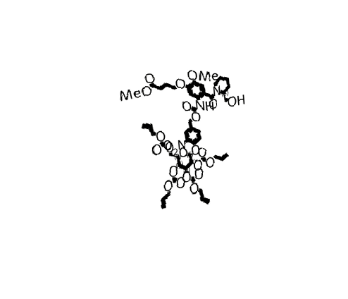 C=CCOC(=O)OC[C@H]1O[C@@H](Oc2ccc(COC(=O)Nc3cc(OCCCC(=O)OC)c(OC)cc3C(=O)N3CCCC[C@H]3CO)cc2[N+](=O)[O-])[C@H](OC(=O)OCC=C)[C@@H](OC(=O)OCC=C)[C@@H]1OC(=O)OCC=C